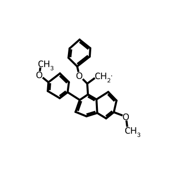 [CH2]C(Oc1ccccc1)c1c(-c2ccc(OC)cc2)ccc2cc(OC)ccc12